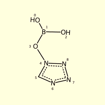 OB(O)On1cnnn1